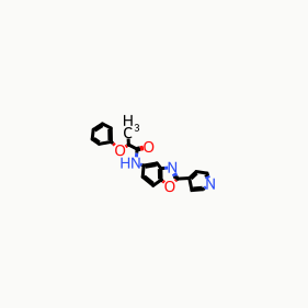 CC(Oc1ccccc1)C(=O)Nc1ccc2oc(-c3ccncc3)nc2c1